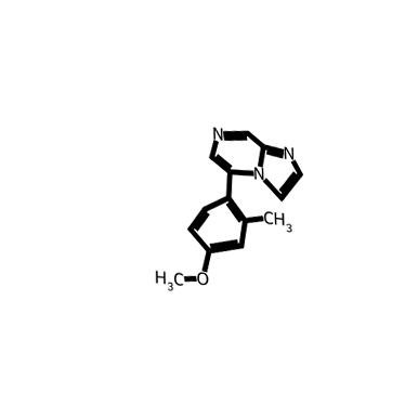 COc1ccc(-c2cncc3nccn23)c(C)c1